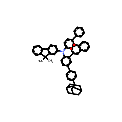 CC1(C)c2ccccc2-c2ccc(N(c3ccc(-c4ccccc4)cc3)c3ccc(-c4ccc(C56CC7CC(CC(C7)C5)C6)cc4)cc3-c3ccc4ccccc4c3)cc21